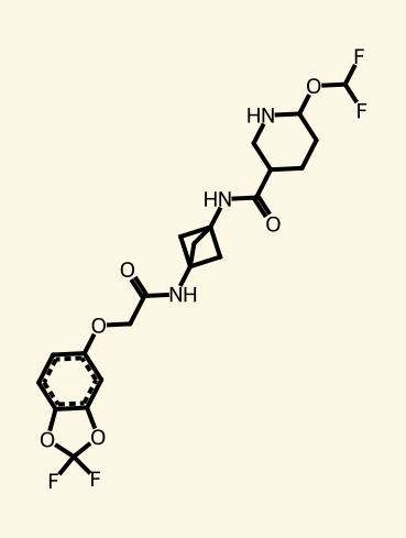 O=C(COc1ccc2c(c1)OC(F)(F)O2)NC12CC(NC(=O)C3CCC(OC(F)F)NC3)(C1)C2